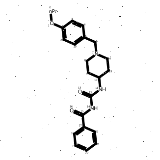 CCCOc1ccc(CN2CCC(NC(=O)NC(=O)c3ccccc3)CC2)cc1